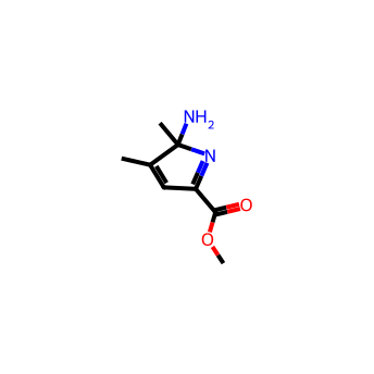 COC(=O)C1=NC(C)(N)C(C)=C1